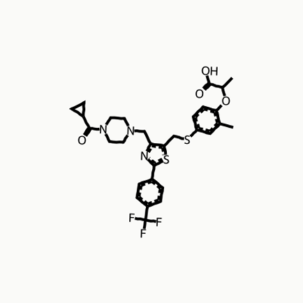 Cc1cc(SCc2sc(-c3ccc(C(F)(F)F)cc3)nc2CN2CCN(C(=O)C3CC3)CC2)ccc1OC(C)C(=O)O